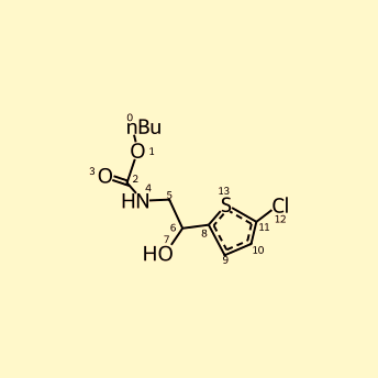 CCCCOC(=O)NCC(O)c1ccc(Cl)s1